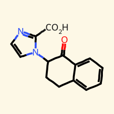 O=C(O)c1nccn1C1CCc2ccccc2C1=O